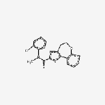 CN(C(=S)c1cc2c(s1)-c1ccccc1OCC2)c1ccccc1Cl